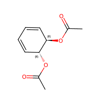 CC(=O)O[C@@H]1C=CC=C[C@H]1OC(C)=O